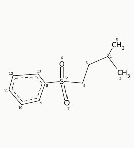 C[C](C)CCS(=O)(=O)c1ccccc1